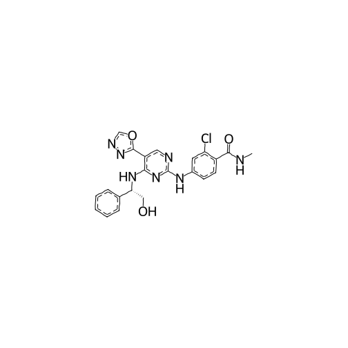 CNC(=O)c1ccc(Nc2ncc(-c3nnco3)c(N[C@H](CO)c3ccccc3)n2)cc1Cl